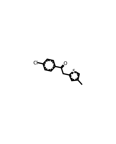 Cc1csc(CC(=O)c2ccc(Cl)cc2)c1